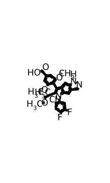 COCC(C)(C)c1c(-c2c(OC)cc(C(=O)O)cc2OC)c2cc3[nH]ncc3cc2n1-c1ccc(F)c(F)c1